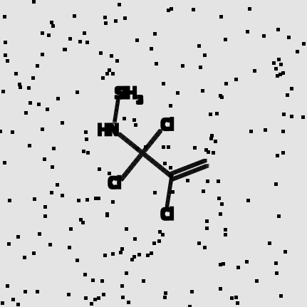 C=C(Cl)C(Cl)(Cl)N[SiH3]